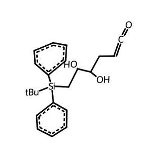 CC(C)(C)[Si](CC(O)C(O)CC=C=O)(c1ccccc1)c1ccccc1